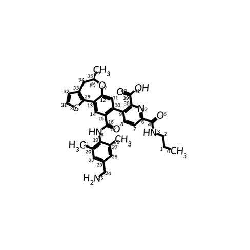 CCCNC(=O)c1ccc(-c2cc3c(cc2C(=O)Nc2c(C)cc(CN)cc2C)-c2sccc2C[C@@H](C)O3)c(C(=O)O)n1